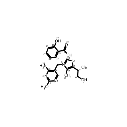 Cc1ncc(C[n+]2csc(CCO)c2C)c(N)n1.O=C(O)c1ccccc1O.[Cl-]